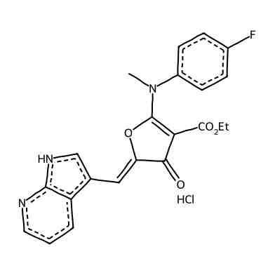 CCOC(=O)C1=C(N(C)c2ccc(F)cc2)O/C(=C\c2c[nH]c3ncccc23)C1=O.Cl